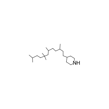 CC(C)CCC(C)(C)CC(C)CCC(C)CCC1CCNCC1